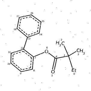 CCC(C)(C)C(=O)Oc1ccccc1-c1ccccc1